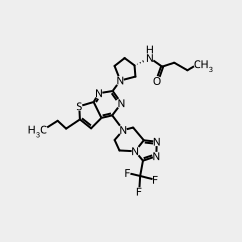 CCCC(=O)N[C@H]1CCN(c2nc(N3CCn4c(nnc4C(F)(F)F)C3)c3cc(CCC)sc3n2)C1